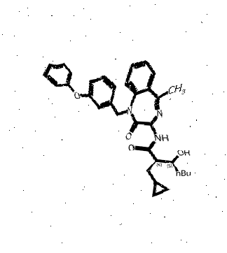 CCCC[C@H](O)[C@@H](CC1CC1)C(=O)NC1N=C(C)c2ccccc2N(Cc2cccc(Oc3ccccc3)c2)C1=O